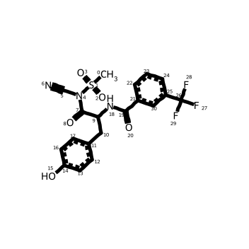 CS(=O)(=O)N(C#N)C(=O)C(Cc1ccc(O)cc1)NC(=O)c1cccc(C(F)(F)F)c1